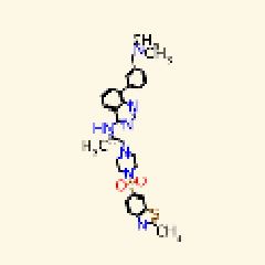 Cc1nc2ccc(S(=O)(=O)N3CCN(C[C@H](C)Nc4ncnc5c(-c6cccc(CN(C)C)c6)cccc45)CC3)cc2s1